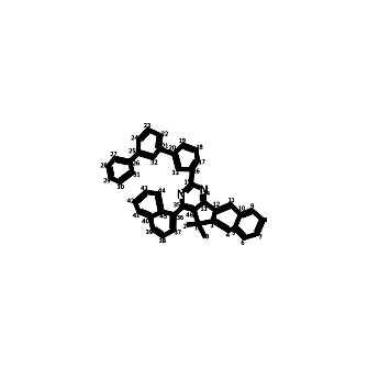 CC1(C)c2cc3ccccc3cc2-c2nc(-c3cccc(-c4cccc(-c5ccccc5)c4)c3)nc(-c3cccc4ccccc34)c21